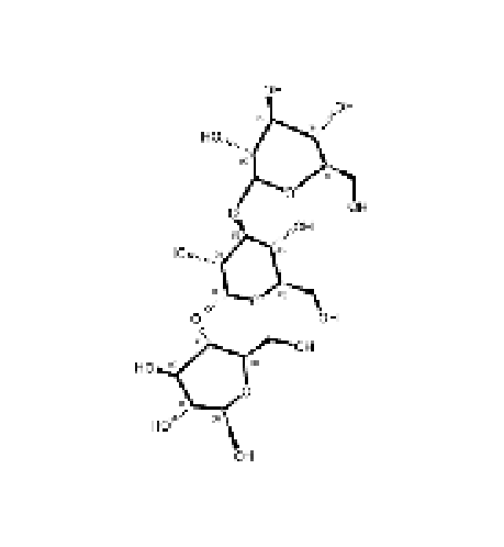 OC[C@H]1OC(O[C@@H]2[C@@H](O)[C@@H](O[C@H]3[C@H](O)[C@@H](O)[C@H](O)O[C@@H]3CO)O[C@H](CO)[C@H]2O)[C@H](O)[C@@H](O)[C@@H]1O